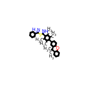 Cc1c(C)c(-c2ccc3c(c2)C(C)(C)c2ccccc2O3)c(C)c(C)c1C(=N)SC(N)c1ccccc1